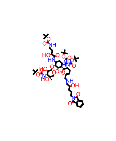 CN(C(=O)OC(C)(C)C)[C@@H]1[C@@H](O)[C@@H](O[C@@H]2[C@@H](O)[C@H](C3OC(CNCC(O)CCCN4C(=O)c5ccccc5C4=O)=CC[C@H]3NC(=O)OC(C)(C)C)[C@@H](NC(=O)OC(C)(C)C)C[C@H]2NC(=O)[C@@H](O)CCNC(=O)OC(C)(C)C)OC[C@]1(C)O